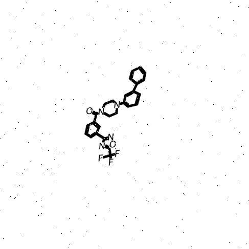 O=C(c1cccc(-c2noc(C(F)(F)F)n2)c1)N1CCN(c2cccc(-c3ccccc3)c2)CC1